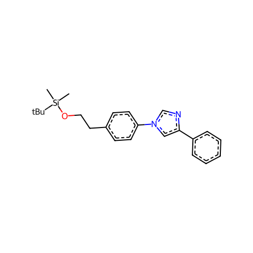 CC(C)(C)[Si](C)(C)OCCc1ccc(-n2cnc(-c3ccccc3)c2)cc1